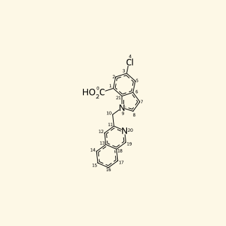 O=C(O)c1cc(Cl)cc2ccn(Cc3cc4ccccc4cn3)c12